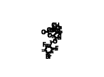 COC(=O)Oc1c(OCc2c(F)cc(Br)cc2F)nsc1S(C)(=O)=O